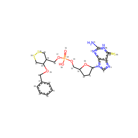 Nc1nc2c(ncn2C2CCC(COP(=O)(O)OCC3CSSCC3OCc3ccccc3)O2)c(=S)[nH]1